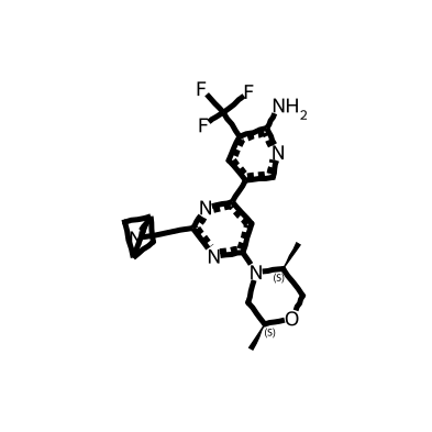 C[C@H]1CN(c2cc(-c3cnc(N)c(C(F)(F)F)c3)nc(N3CC4CC3C4)n2)[C@@H](C)CO1